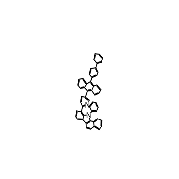 c1ccc(-c2ccc(-c3c4ccccc4c(-c4ccc(-c5cccc6c7ccc8ccccc8c7n(-c7ccccc7)c56)nc4)c4ccccc34)cc2)cc1